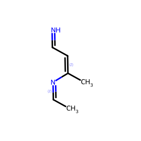 C/C=N\C(C)=C/C=N